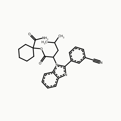 CC(C)CC(C(=O)OC1(C(N)=O)CCCCC1)n1c(-c2cccc(C#N)c2)nc2ccccc21